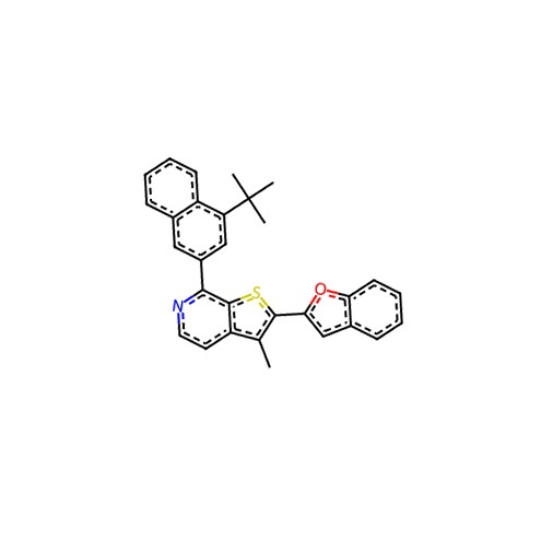 Cc1c(-c2cc3ccccc3o2)sc2c(-c3cc(C(C)(C)C)c4ccccc4c3)nccc12